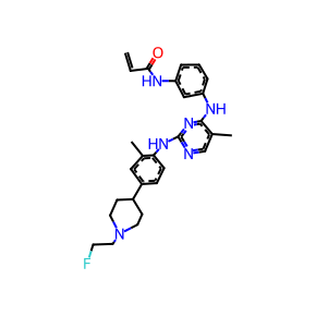 C=CC(=O)Nc1cccc(Nc2nc(Nc3ccc(C4CCN(CCF)CC4)cc3C)ncc2C)c1